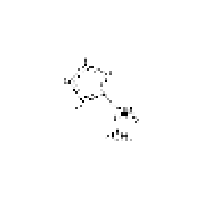 C[SiH2]c1cccs1